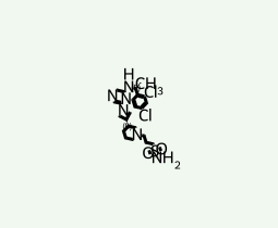 C[C@@H](Nc1cncc(N2CC([C@H]3CCCN(CCCS(N)(=O)=O)C3)C2)n1)c1ccc(Cl)cc1Cl